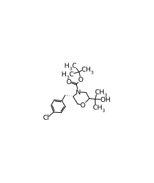 CC(C)(C)OC(=O)N1CC(C(C)(C)O)OC[C@@H]1Cc1ccc(Cl)cc1